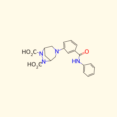 O=C(Nc1ccccc1)c1cccc(N2CC3CC(C2)N(C(=O)O)N3C(=O)O)c1